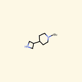 CC(C)(C)N1CCC(C2CNC2)CC1